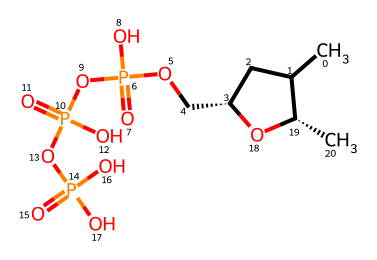 CC1C[C@@H](COP(=O)(O)OP(=O)(O)OP(=O)(O)O)O[C@H]1C